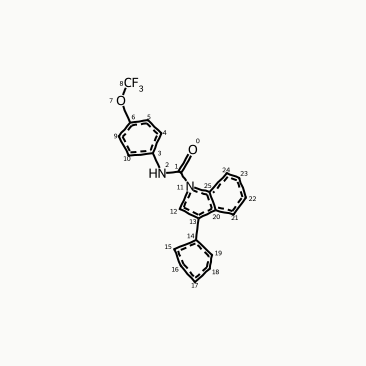 O=C(Nc1ccc(OC(F)(F)F)cc1)n1cc(-c2ccccc2)c2ccccc21